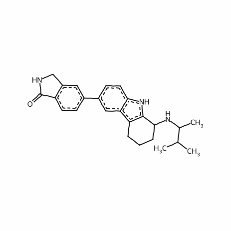 CC(C)C(C)NC1CCCc2c1[nH]c1ccc(-c3ccc4c(c3)CNC4=O)cc21